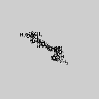 COC(=O)N[C@H](C(=O)N1CCCC1c1ncc(-c2ccc(-c3cc4ccc(-c5c[nH]c([C@@H]6CCCN6C(=O)[C@H](NC(=O)OC)c6ccccc6)n5)cc4s3)cc2)[nH]1)C(C)C